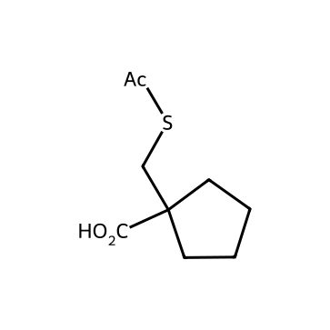 CC(=O)SCC1(C(=O)O)CCCC1